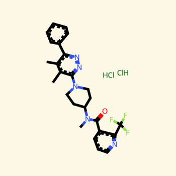 Cc1c(-c2ccccc2)nnc(N2CCC(N(C)C(=O)c3cccnc3C(F)(F)F)CC2)c1C.Cl.Cl